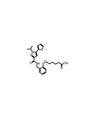 CC(C)n1nc(C(=O)NCc2ccccc2O[C@H](C)CCCCC(=O)O)cc1-c1ccco1